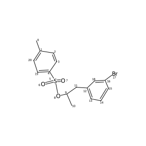 Cc1ccc(S(=O)(=O)OC(C)Cc2cccc(Br)c2)cc1